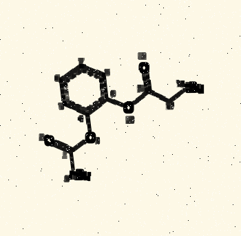 CCCCC(=O)Oc1ccccc1OC(=O)CC(C)(C)C